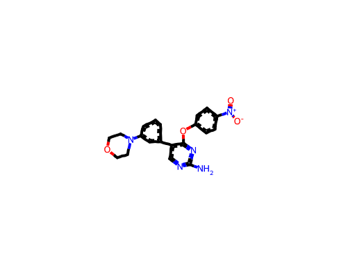 Nc1ncc(-c2cccc(N3CCOCC3)c2)c(Oc2ccc([N+](=O)[O-])cc2)n1